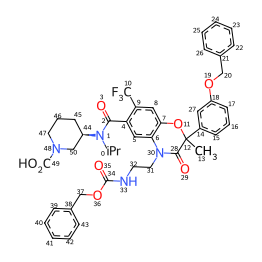 CC(C)N(C(=O)c1cc2c(cc1C(F)(F)F)OC(C)(c1cccc(OCc3ccccc3)c1)C(=O)N2CCNC(=O)OCc1ccccc1)[C@@H]1CCCN(C(=O)O)C1